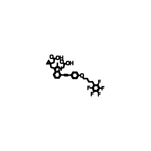 Cc1c(CC2(CC(=O)O)CC2)c2cccc(C#Cc3ccc(OCCCCc4c(F)c(F)c(F)c(F)c4F)cc3)c2n1CC(=O)O